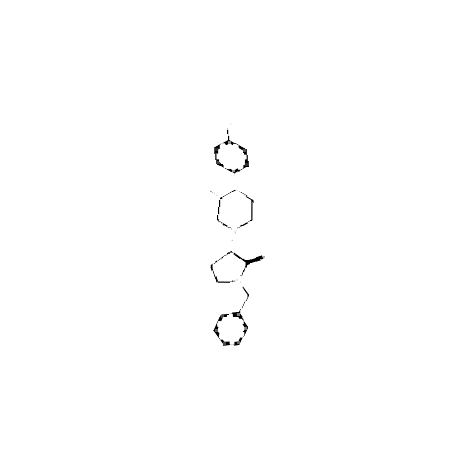 O=C1[C@@H](N2CC[C@@H](c3ccc(O)cc3)[C@H](F)C2)CCN1Cc1ccccc1